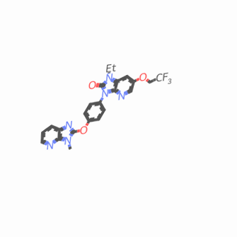 CCn1c(=O)n(-c2ccc(Oc3nc4cccnc4n3C)cc2)c2ncc(OCC(F)(F)F)cc21